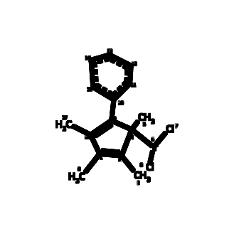 CC1=C(C)[C](C)([Ir]([Cl])[Cl])C(c2ccccc2)=C1C